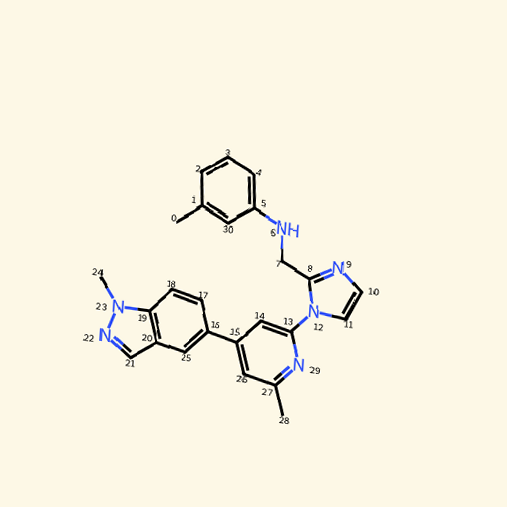 Cc1cccc(NCc2nccn2-c2cc(-c3ccc4c(cnn4C)c3)cc(C)n2)c1